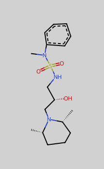 C[C@@H]1CCC[C@H](C)N1C[C@@H](O)CNS(=O)(=O)N(C)c1ccccc1